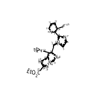 CCCc1c(Cn2ccnc2-c2ncccc2F)ncn2nc(C(=O)OCC)nc12